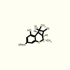 CCCCCc1cc(O)c2c(c1)O[C@@H](C)[C@@H]1C(CC)C(C)(C)[C@H]21